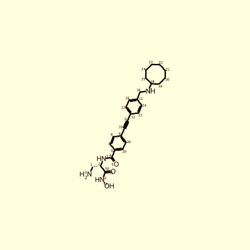 NC[C@H](NC(=O)c1ccc(C#Cc2ccc(CNC3CCCCCCC3)cc2)cc1)C(=O)NO